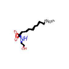 CCCCCCCCCCCCCCCCCC1(NCCO)OO1